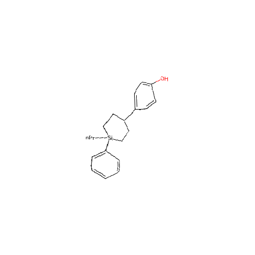 CCC[Si]1(c2ccccc2)CCC(c2ccc(O)cc2)CC1